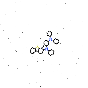 c1ccc(N(c2ccccc2)c2ccc3c4c5sc6ccccc6c5ccc4n(-c4ccccc4)c3c2)cc1